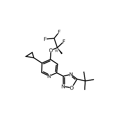 CC(C)(C)c1nc(-c2cc(O[C@@](C)(F)C(F)F)c(C3CC3)cn2)no1